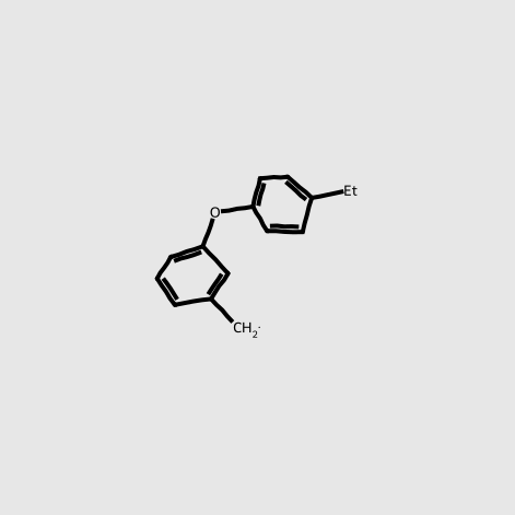 [CH2]c1cccc(Oc2ccc(CC)cc2)c1